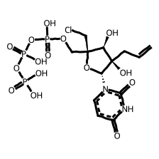 C=CC[C@@]1(O)[C@H](O)[C@@](CCl)(COP(=O)(O)OP(=O)(O)OP(=O)(O)O)O[C@H]1n1ccc(=O)[nH]c1=O